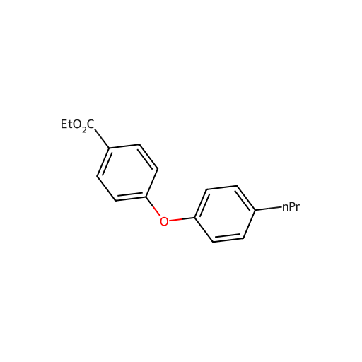 CCCc1ccc(Oc2ccc(C(=O)OCC)cc2)cc1